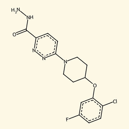 NNC(=O)c1ccc(N2CCC(Oc3cc(F)ccc3Cl)CC2)nn1